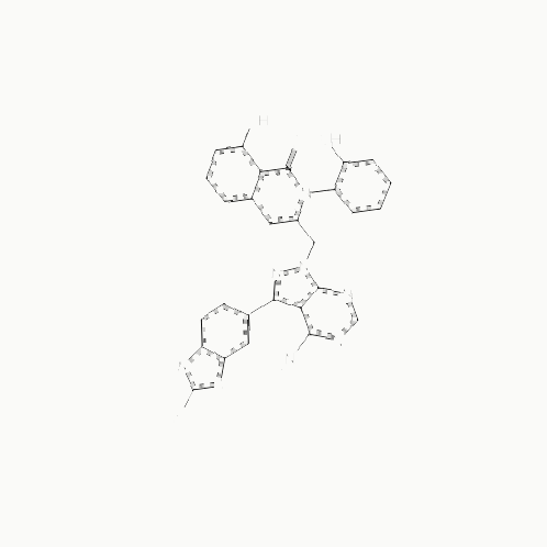 Cc1nc2ccc(-c3nn(Cc4cc5cccc(C)c5c(=O)n4-c4ccccc4C)c4ncnc(N)c34)cc2s1